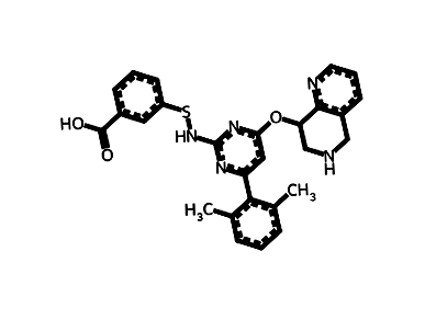 Cc1cccc(C)c1-c1cc(OC2CNCc3cccnc32)nc(NSc2cccc(C(=O)O)c2)n1